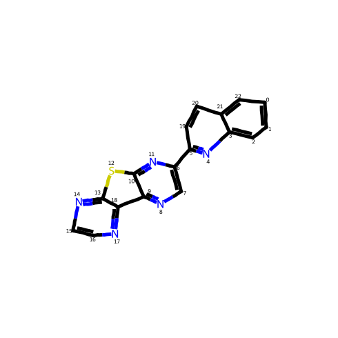 c1ccc2nc(-c3cnc4c(n3)sc3nccnc34)ccc2c1